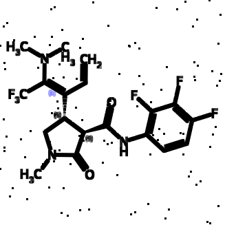 C=C/C(=C(\N(C)C)C(F)(F)F)[C@H]1CN(C)C(=O)[C@@H]1C(=O)Nc1ccc(F)c(F)c1F